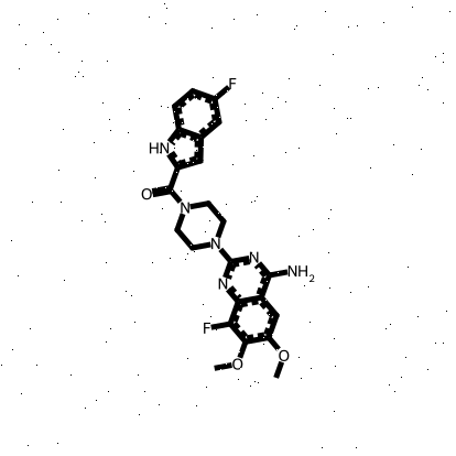 COc1cc2c(N)nc(N3CCN(C(=O)c4cc5cc(F)ccc5[nH]4)CC3)nc2c(F)c1OC